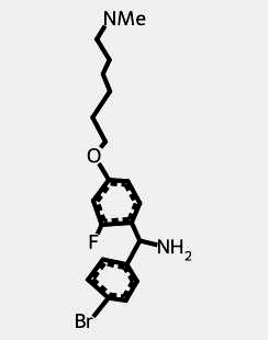 CNCCCCCCOc1ccc(C(N)c2ccc(Br)cc2)c(F)c1